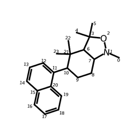 CN1OC(C)(C)C2C1CCC(c1cccc3ccccc13)C2(C)C